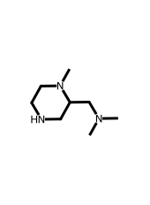 CN(C)CC1CNCCN1C